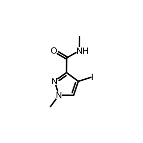 CNC(=O)c1nn(C)cc1I